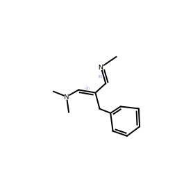 C/N=C/C(=C/N(C)C)Cc1ccccc1